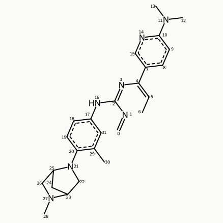 C=N/C(=N\C(=C/C)c1ccc(N(C)C)nc1)Nc1ccc(N2CC3CC2CN3C)c(C)c1